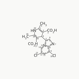 CC1=C(C(=O)O)C(c2cnc3c(Cl)cc(Cl)cn23)C(C(=O)O)=C(C)N1